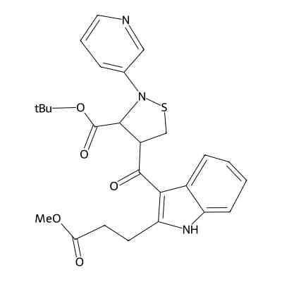 COC(=O)CCc1[nH]c2ccccc2c1C(=O)C1CSN(c2cccnc2)C1C(=O)OC(C)(C)C